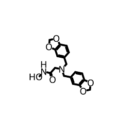 O=C(CN(Cc1ccc2c(c1)OCO2)Cc1ccc2c(c1)OCO2)NO